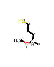 C[SiH](CCCS)O[SiH3]